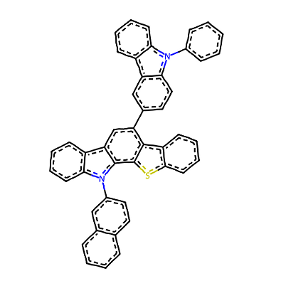 c1ccc(-n2c3ccccc3c3cc(-c4cc5c6ccccc6n(-c6ccc7ccccc7c6)c5c5sc6ccccc6c45)ccc32)cc1